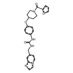 O=C(NCc1ccn2ccnc2c1)Nc1ccc(OC2CCN(C(=O)c3ccco3)CC2)cc1